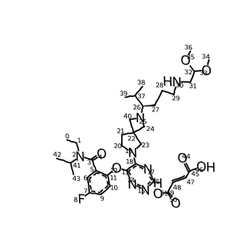 CCN(C(=O)c1cc(F)ccc1Oc1nncnc1N1CCC2(C1)CN([C@H](CCCNCC(OC)OC)C(C)C)C2)C(C)C.O=C(O)/C=C/C(=O)O